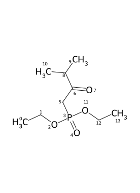 CCOP(=O)(CC(=O)C(C)C)OCC